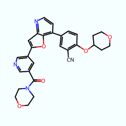 N#Cc1cc(-c2ccnc3cc(-c4cncc(C(=O)N5CCOCC5)c4)oc23)ccc1OC1CCOCC1